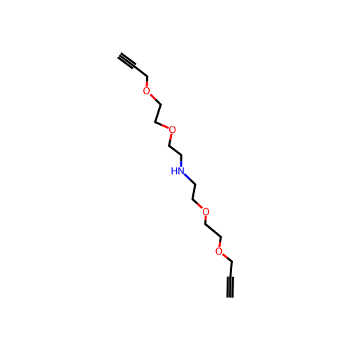 C#CCOCCOCCNCCOCCOCC#C